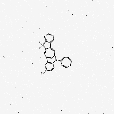 CC1(C)C2=CC3=CC(C=C2c2ccccc21)N(C1=CC=CCC=C1)c1ccc(Br)cc13